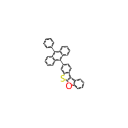 c1ccc(-c2c3ccccc3c(-c3ccc4c(c3)sc3oc5ccccc5c34)c3ccccc23)cc1